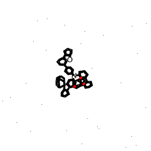 c1ccc2c(c1)-c1ccc(N(c3ccc(-c4cccc5c4oc4ccccc45)cc3)c3cccc4c3C3(c5ccccc5-4)C4CC5CC(C4)CC3C5)cc1C21C2CC3CC(C2)CC1C3